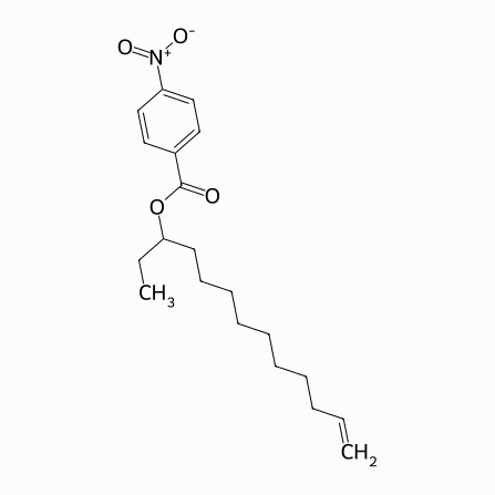 C=CCCCCCCCCC(CC)OC(=O)c1ccc([N+](=O)[O-])cc1